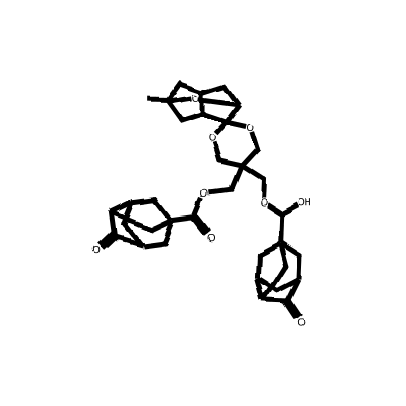 CC12CC3CC(C1)C1(OCC(COC(=O)C45CC6CC(C4)C(C5)C6=O)(COC(O)C45CC6CC(C4)C(C5)C6=O)CO1)C3C2